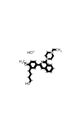 CCN1CCN(c2nc(-c3ccc(OC)c(CCCCO)c3)cc3ccccc23)CC1.Cl